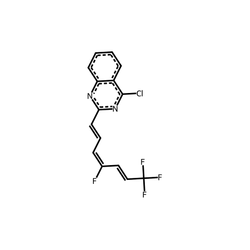 FC(/C=C/C(F)(F)F)=C/C=C/c1nc(Cl)c2ccccc2n1